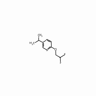 CC(C)c1ccc(OCC(F)F)nc1